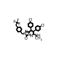 CNc1nn2c(=O)n(Cc3ccc(CC(F)(F)F)cc3)nc2c(-c2ccc(Cl)cc2)c1-c1ccc(Cl)cc1